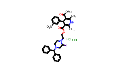 COC(=O)C1=C(C)NC(C)=C(C(=O)OCCN2CCN(C(c3ccccc3)c3ccccc3)CC2I)C1c1cccc([N+](=O)[O-])c1.Cl.Cl